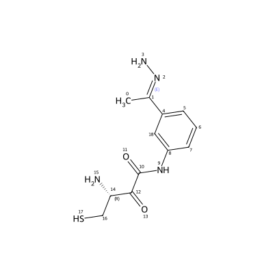 C/C(=N\N)c1cccc(NC(=O)C(=O)[C@@H](N)CS)c1